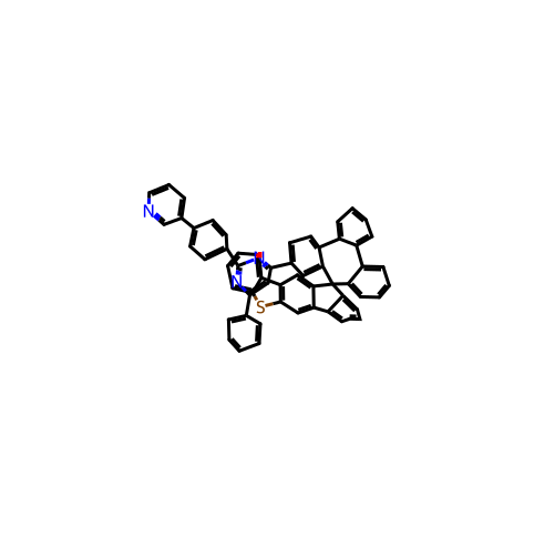 c1ccc(-c2cc(-c3ccc4c(c3)C3(c5ccccc5-c5ccccc5-4)c4ccccc4-c4cc5sc6ccccc6c5cc43)nc(-c3ccc(-c4cccnc4)cc3)n2)cc1